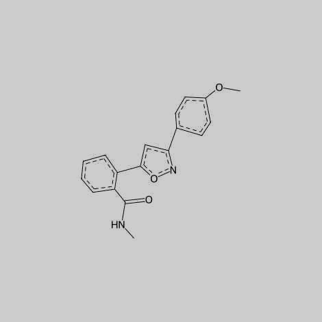 CNC(=O)c1ccccc1-c1cc(-c2ccc(OC)cc2)no1